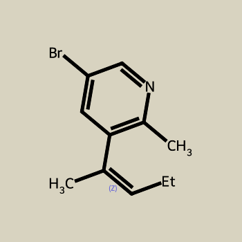 CC/C=C(/C)c1cc(Br)cnc1C